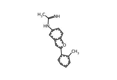 CC(=N)Nc1ccc2oc(-c3ccccc3C)cc2c1